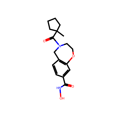 CC1(C(=O)N2CCOc3cc(C(=O)NO)ccc3C2)CCCC1